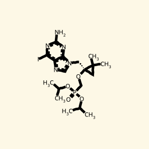 CC(C)OP(=O)(CO[C@]1(Cn2cnc3c(I)nc(N)nc32)CC1(C)C)OC(C)C